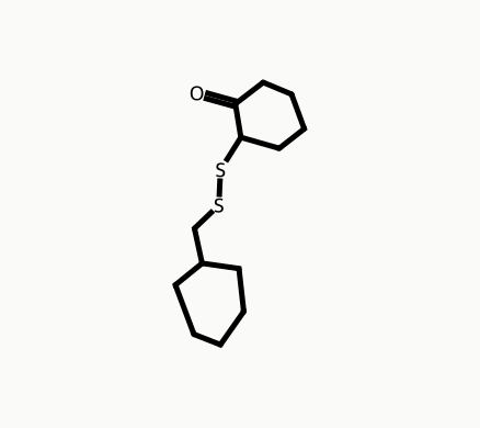 O=C1CCCCC1SSCC1CCCCC1